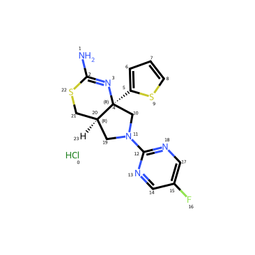 Cl.NC1=N[C@@]2(c3cccs3)CN(c3ncc(F)cn3)C[C@H]2CS1